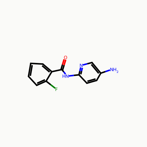 Nc1ccc(NC(=O)c2ccccc2F)nc1